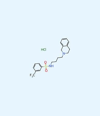 Cl.O=S(=O)(NCCCCN1CCc2ccccc2C1)c1cccc(C(F)(F)F)c1